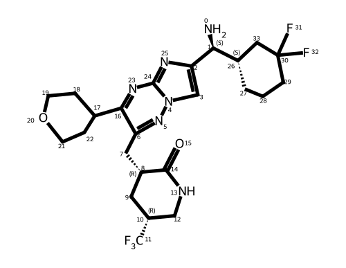 N[C@H](c1cn2nc(C[C@H]3C[C@@H](C(F)(F)F)CNC3=O)c(C3CCOCC3)nc2n1)[C@H]1CCCC(F)(F)C1